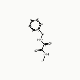 O=C(NI)C(=O)NCc1ccccc1